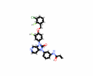 C=CC(=O)Nc1cccc(-n2c(=O)n(-c3ccc(OCc4cccc(Cl)c4F)c(F)c3)c3cnccc32)c1